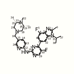 Cc1nc2c(F)cc(-c3nc(Nc4ccc(CN5C[C@@H](C)N(C)[C@@H](C)C5)cn4)ncc3F)cc2n1C(C)C